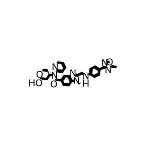 CC[C@H](CC(=O)O)N(C(=O)c1ccc2c(c1)nc(CNc1ccc(-c3noc(C)n3)cc1)n2C)c1ccccn1